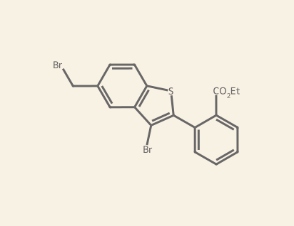 CCOC(=O)c1ccccc1-c1sc2ccc(CBr)cc2c1Br